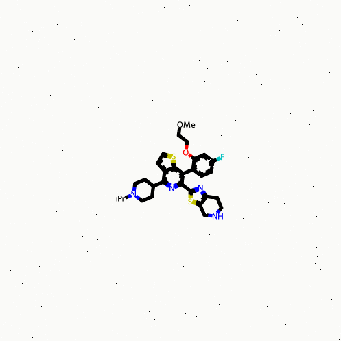 COCCOc1cc(F)ccc1-c1c(-c2nc3c(s2)CNCC3)nc(C2CCN(C(C)C)CC2)c2ccsc12